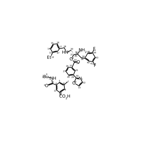 CCC(C)NC(=O)c1cc(C)cc(C(=O)O)c1.CCc1cccc(CNC[C@@H](OC(=O)c2cccc(-c3ncco3)c2)[C@@H](N)Cc2cc(F)cc(F)c2)c1